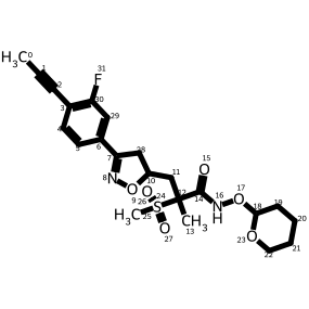 CC#Cc1ccc(C2=NOC(CC(C)(C(=O)NOC3CCCCO3)S(C)(=O)=O)C2)cc1F